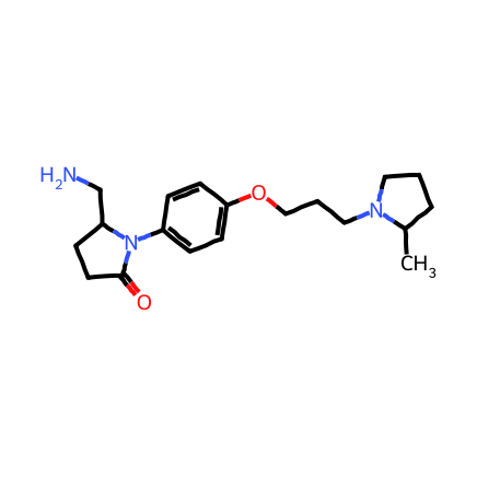 CC1CCCN1CCCOc1ccc(N2C(=O)CCC2CN)cc1